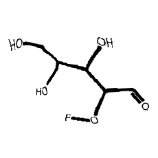 O=CC(OF)C(O)C(O)CO